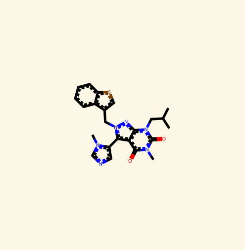 CC(C)Cn1c(=O)n(C)c(=O)c2c(-c3cncn3C)n(Cc3csc4ccccc34)nc21